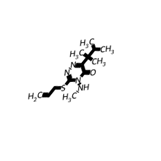 C=CCSc1nnc(C(C)(C)C(C)C)c(=O)n1NC